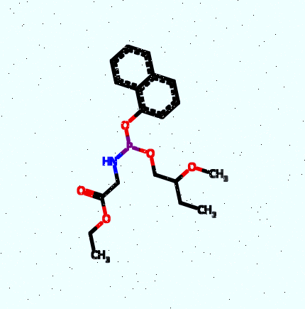 CCOC(=O)CNP(OCC(CC)OC)Oc1cccc2ccccc12